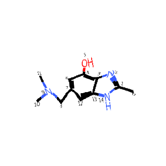 Cc1nc2c(O)cc(CN(C)C)cc2[nH]1